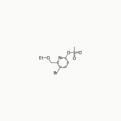 CCOCc1nc(OS(C)(=O)=O)ccc1Br